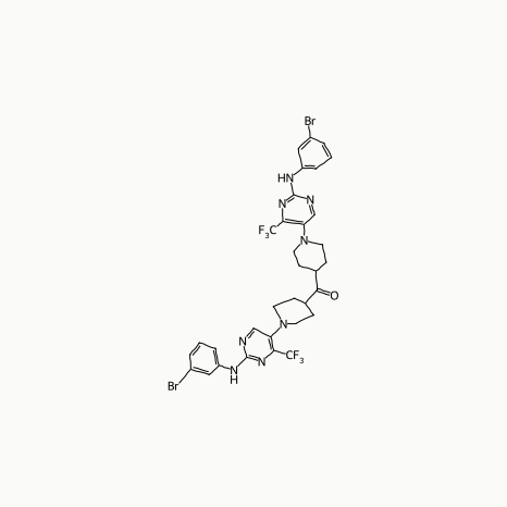 O=C(C1CCN(c2cnc(Nc3cccc(Br)c3)nc2C(F)(F)F)CC1)C1CCN(c2cnc(Nc3cccc(Br)c3)nc2C(F)(F)F)CC1